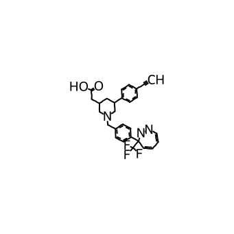 C#Cc1ccc(C2CC(CC(=O)O)CN(Cc3ccc(C4(C(F)(F)F)C=CC=CN=N4)cc3)C2)cc1